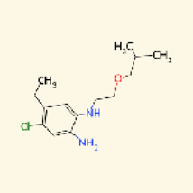 CCc1cc(NCCOCC(C)C)c(N)cc1Cl